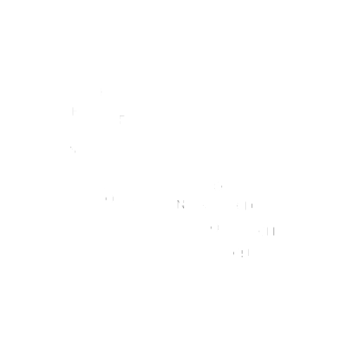 CC(C)(C)OC(=O)N1CCC(Oc2csc(C(F)(F)F)c2)CC1